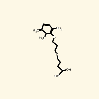 C=C1C=CC(C)=C(SCCCCCCCC(O)O)C1C